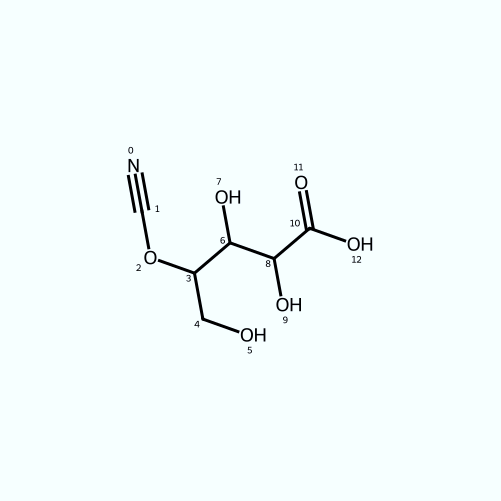 N#COC(CO)C(O)C(O)C(=O)O